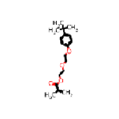 C=C(C)C(=O)OCCOCCOc1ccc(C(C)(C)C)cc1